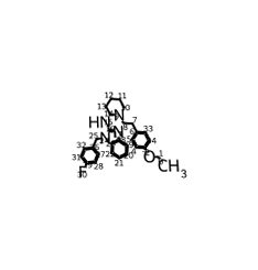 CCOc1ccc(CCN2CCCCC2Nc2nc3ccccc3n2Cc2ccc(F)cc2)cc1